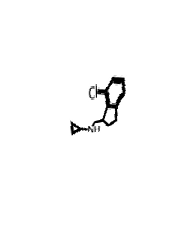 Clc1cccc2c1C(CNC1CC1)CC2